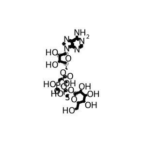 Nc1ncnc2c1ncn2[C@@H]1O[C@H](COP(=O)(O)CP(=O)(O)OP(O)(=S)O[C@@H]2OC(CO)C(O)C(O)C2O)C(O)[C@@H]1O